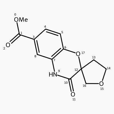 COC(=O)c1ccc2c(c1)NC(=O)C1(CCOC1)O2